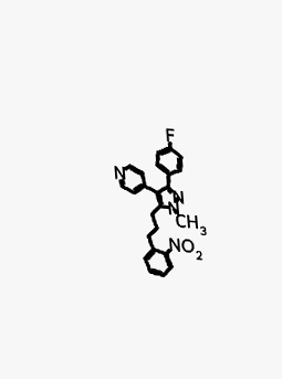 Cn1nc(-c2ccc(F)cc2)c(-c2ccncc2)c1CCCc1ccccc1[N+](=O)[O-]